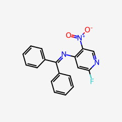 O=[N+]([O-])c1cnc(F)cc1N=C(c1ccccc1)c1ccccc1